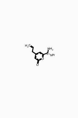 C=CCc1cc([C@H](N)CCC)oc(=O)c1